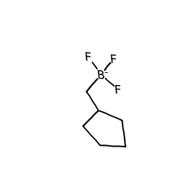 F[B-](F)(F)CC1CCCC1